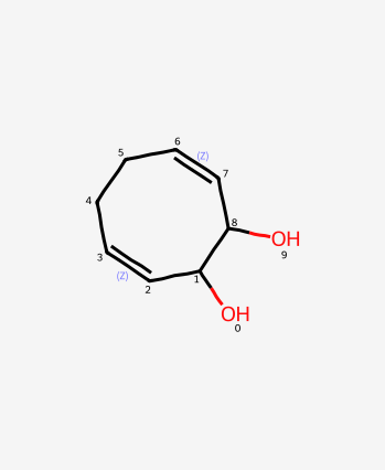 OC1/C=C\CC/C=C\C1O